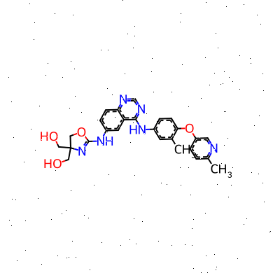 Cc1ccc(Oc2ccc(Nc3ncnc4ccc(NC5=NC(CO)(CO)CO5)cc34)cc2C)cn1